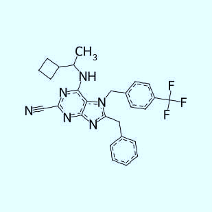 CC(Nc1nc(C#N)nc2nc(Cc3ccccc3)n(Cc3ccc(C(F)(F)F)cc3)c12)C1CCC1